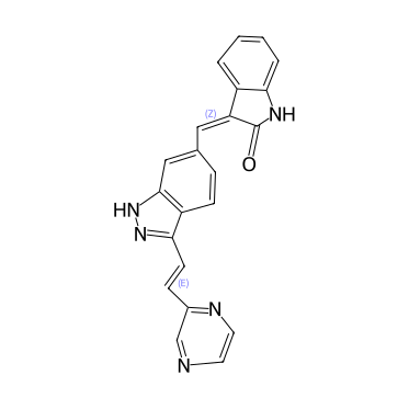 O=C1Nc2ccccc2/C1=C/c1ccc2c(/C=C/c3cnccn3)n[nH]c2c1